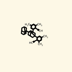 C#Cc1c(C)cc(C)cc1C12CC3CC(c4cc(C)cc(C)c4C#C)(C1)CC(C14CC5CC(CC(C5)C1)C4)(C3)C2